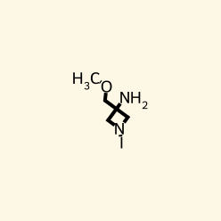 COCC1(N)CN(I)C1